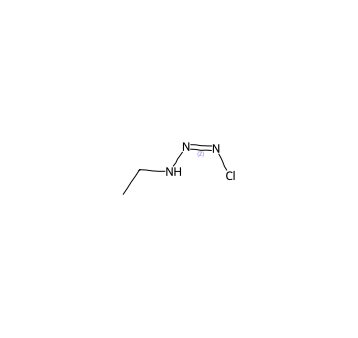 CCN/N=N\Cl